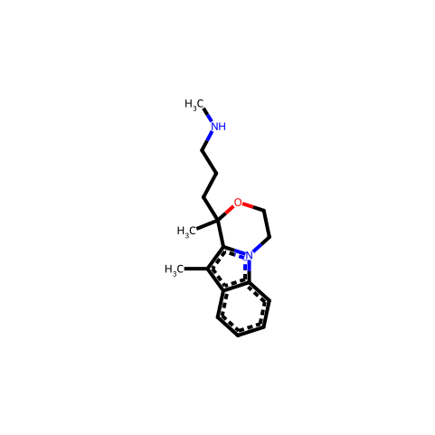 CNCCCC1(C)OCCn2c1c(C)c1ccccc12